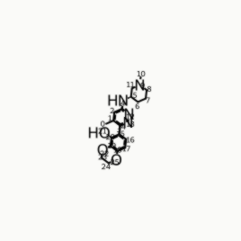 Cc1cc(N[C@@H]2CCCN(C)C2)nnc1-c1ccc2c(c1O)OCCO2